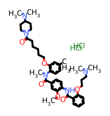 COc1cc(C(=O)N(C)c2ccc(C)cc2OCCCCCC(=O)N2CCC(N(C)C)CC2)ccc1NC(=O)c1ccccc1OCCCN(C)C.Cl.Cl